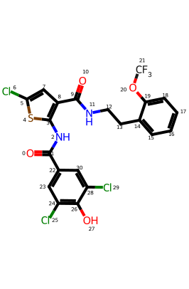 O=C(Nc1sc(Cl)cc1C(=O)NCCc1ccccc1OC(F)(F)F)c1cc(Cl)c(O)c(Cl)c1